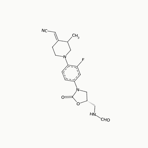 CC1CN(c2ccc(N3C[C@H](CNC=O)OC3=O)cc2F)CCC1=CC#N